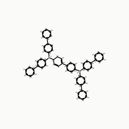 C1=CC(N(c2ccc(-c3ccccc3)cc2)c2ccc(-c3ccccc3)cc2)CC=C1c1ccc(N(c2ccc(-c3ccccc3)cc2)c2ccc(-c3ccccc3)cc2)cc1